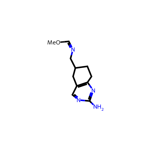 CO/C=N\CC1CCc2nc(N)ncc2C1